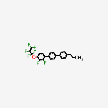 CCCc1ccc(-c2ccc(-c3ccc(OC(F)(F)C(F)=C(F)F)c(F)c3F)cc2)cc1